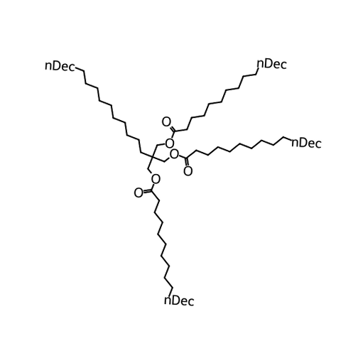 CCCCCCCCCCCCCCCCCCCCC(COC(=O)CCCCCCCCCCCCCCCCCCC)(COC(=O)CCCCCCCCCCCCCCCCCCC)COC(=O)CCCCCCCCCCCCCCCCCCC